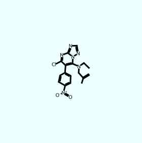 C=C(C)CN(CC)c1c(-c2ccc([N+](=O)[O-])cc2)c(Cl)nc2ncnn12